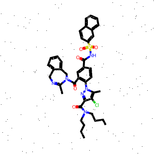 CCCCN(CCCC)C(=O)c1nn(-c2ccc(C(=O)NS(=O)(=O)c3ccc4ccccc4c3)cc2C(=O)N2Cc3ccccc3CN=C2C)c(C)c1Cl